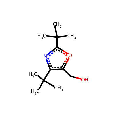 CC(C)(C)c1nc(C(C)(C)C)c(CO)o1